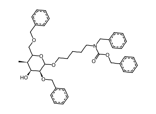 C[C@H]1C(COCc2ccccc2)OC(OCCCCCN(Cc2ccccc2)C(=O)OCc2ccccc2)[C@@H](OCc2ccccc2)[C@H]1O